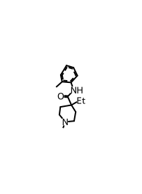 CCC1(C(=O)Nc2ccccc2C)CCN(C)CC1